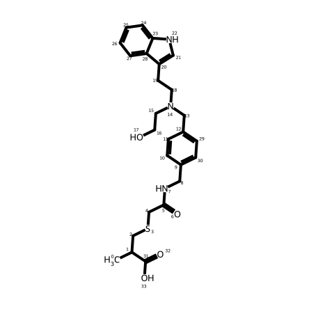 CC(CSCC(=O)NCc1ccc(CN(CCO)CCc2c[nH]c3ccccc23)cc1)C(=O)O